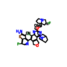 COCCCN1CC2CCC(C1)N2c1nc(OC[C@@]23CCCN2C[C@@H](F)C3)nc2c(F)c(-c3ncc(F)c4sc(N)c(C#N)c34)c3c(c12)COC3